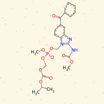 COC(=O)Nc1nc2cc(C(=O)c3ccccc3)ccc2n1COP(=O)(OC)OCOC(=O)OC(C)C